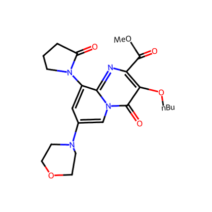 CCCCOc1c(C(=O)OC)nc2c(N3CCCC3=O)cc(N3CCOCC3)cn2c1=O